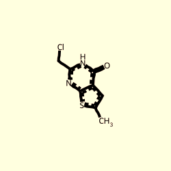 Cc1cc2c(=O)[nH]c(CCl)nc2s1